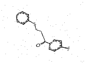 O=C(CCSc1ccccc1)c1ccc(F)cc1